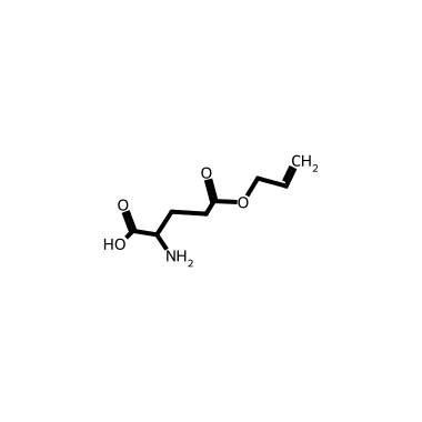 C=CCOC(=O)CCC(N)C(=O)O